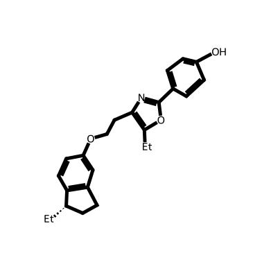 CCc1oc(-c2ccc(O)cc2)nc1CCOc1ccc2c(c1)CC[C@@H]2CC